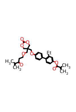 C=C(C)C(=O)CCOCC1(COc2ccc(-c3ccc(OC(=O)C(=C)C)cc3CC)cc2)COC(=O)OC1